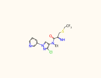 CCN(C(=O)C(=N)CSCC(F)(F)F)c1cn(-c2cccnc2)nc1Cl